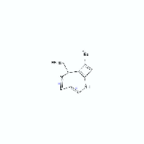 CC[C@@H](C)C1=CC2=C1C(C=N)/N=C\C=C\N2